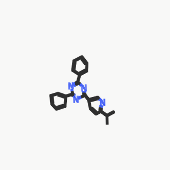 CC(C)c1ccc(-c2nc(-c3ccccc3)nc(-c3ccccc3)n2)cn1